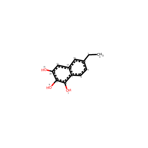 CCc1ccc2c(O)c(O)c(O)cc2c1